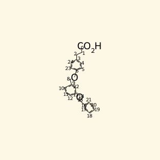 O=C(O)CCc1ccc(OCc2cccc(OCc3ccccc3)c2)cc1